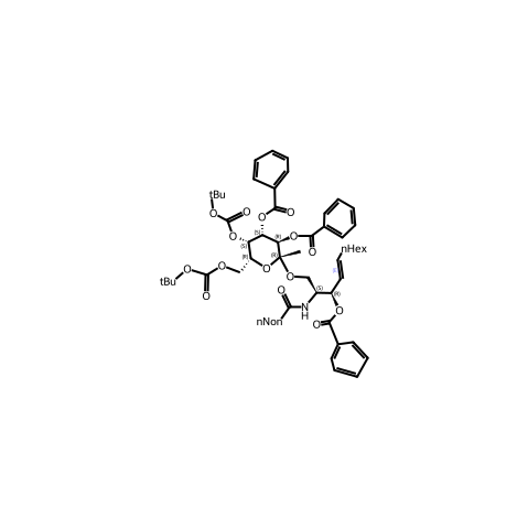 CCCCCC/C=C/[C@@H](OC(=O)c1ccccc1)[C@H](CO[C@]1(C)O[C@H](COC(=O)OC(C)(C)C)[C@H](OC(=O)OC(C)(C)C)[C@H](OC(=O)c2ccccc2)[C@H]1OC(=O)c1ccccc1)NC(=O)CCCCCCCCC